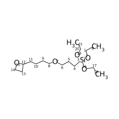 CCO[Si](CCCOCCCCC1CCO1)(OCC)OCC